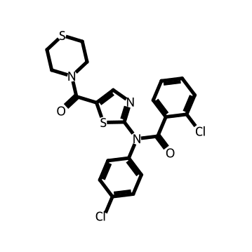 O=C(c1cnc(N(C(=O)c2ccccc2Cl)c2ccc(Cl)cc2)s1)N1CCSCC1